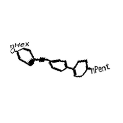 CCCCCCOc1ccc(C#Cc2ccc(C3=CCC(CCCCC)CC3)cc2)cc1